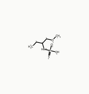 CCC(COC)NP(O)(=S)Cl